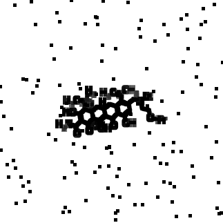 CCN(CCOC(C)C)Cc1cc(O)c2c(c1N(C)C)C[C@H]1C[C@H]3[C@H](N(C)C)C(O)=C(C(N)=O)C(=O)[C@@]3(O)C(O)=C1C2=O